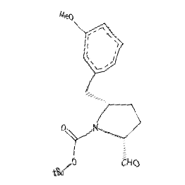 COc1cccc(C[C@@H]2CC[C@H](C=O)N2C(=O)OC(C)(C)C)c1